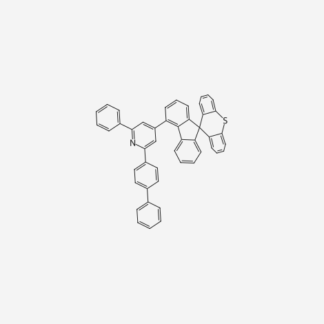 c1ccc(-c2ccc(-c3cc(-c4cccc5c4-c4ccccc4C54c5ccccc5Sc5ccccc54)cc(-c4ccccc4)n3)cc2)cc1